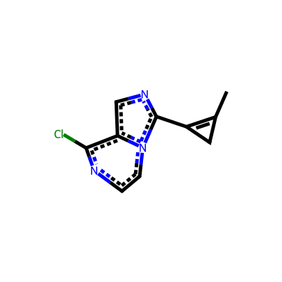 CC1=C(c2ncc3c(Cl)nccn23)C1